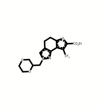 CCOC(=O)c1oc2c(c1C(F)(F)F)-c1nn(CC3COCCO3)cc1CC2